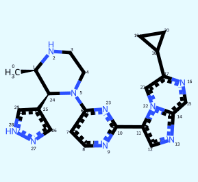 C[C@H]1NCCN(c2ccnc(-c3cnc4cnc(C5CC5)cn34)n2)[C@H]1c1cn[nH]c1